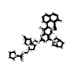 C#Cc1c(F)ccc2cccc(-c3ncc4c(N5CC6CCC(C5)N6)nc(OC[C@@]56CC[C@@H](COC(=O)N7CCCC7)N5CC(=C)C6)nc4c3F)c12